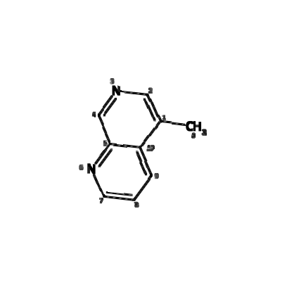 Cc1cncc2ncccc12